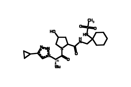 CC(C)(C)[C@@H](C(=O)N1CC(O)CC1C(=O)NCC1(NS(C)(=O)=O)CCCCC1)n1cc(C2CC2)nn1